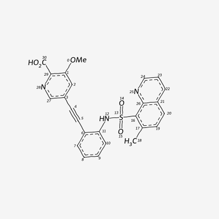 COc1cc(C#Cc2ccccc2NS(=O)(=O)c2c(C)ccc3cccnc23)cnc1C(=O)O